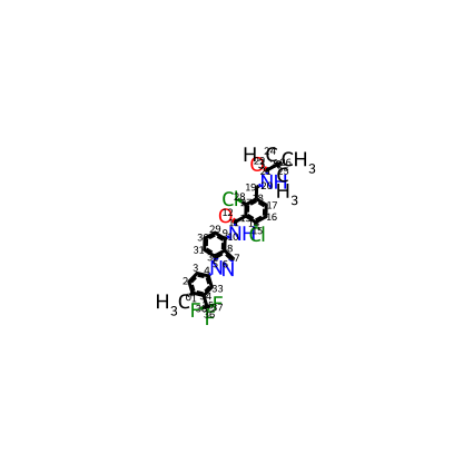 Cc1ccc(-n2ncc3c(NC(=O)c4c(Cl)ccc(CNC(=O)C(C)(C)C)c4Cl)cccc32)cc1C(F)(F)F